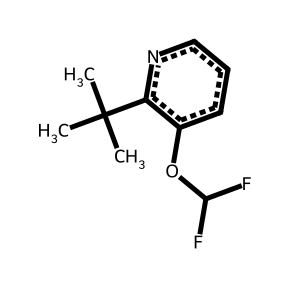 CC(C)(C)c1ncccc1OC(F)F